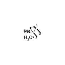 CCCC.CNC.O